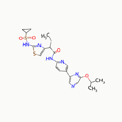 CCC(C(=O)Nc1ccc(-c2cncc(OC(C)C)n2)cn1)c1csc(NS(=O)(=O)C2CC2)n1